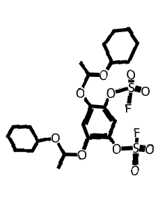 CC(Oc1cc(OC(C)OC2CCCCC2)c(OS(=O)(=O)F)cc1OS(=O)(=O)F)OC1CCCCC1